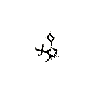 Cc1ncn(C2CCC2)c1C(C)(C)C